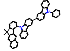 CC1(C)c2cc3ccccc3cc2-c2c(-n3c4ccccc4c4cc(-c5ccc6c(c5)c5ccccc5n6-c5ccccc5)ccc43)cccc21